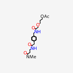 CNC(=O)CCNC(=O)Cc1ccc(CNC(=O)COCCCOC(C)=O)cc1